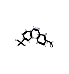 CC(C)(C)c1ccc(/C=C\c2cccc(C=O)c2)cc1